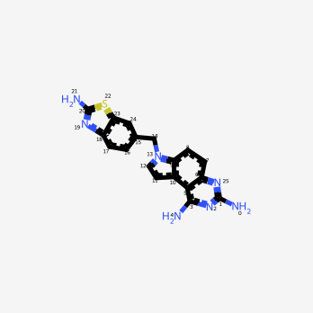 Nc1nc(N)c2c(ccc3c2ccn3Cc2ccc3nc(N)sc3c2)n1